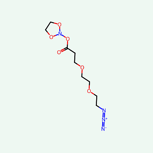 [N-]=[N+]=NCCOCCOCCC(=O)ON1OCCO1